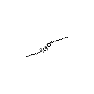 CCCCCCCCCCCOc1ccc(-c2ncc(OC(=O)CCCCCCCCCC)cn2)cc1